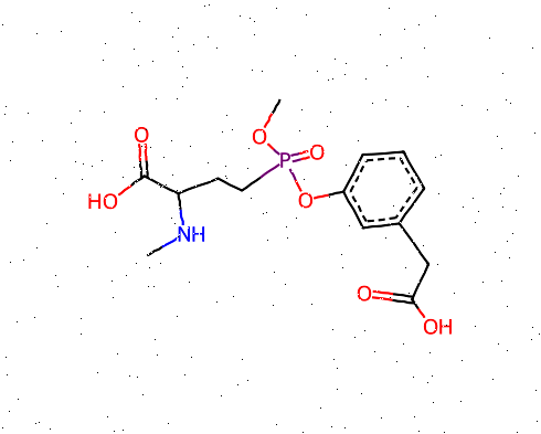 CNC(CCP(=O)(OC)Oc1cccc(CC(=O)O)c1)C(=O)O